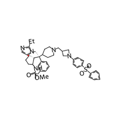 CCc1nccn1C[C@@](c1cccc(F)c1)(C1CCN(CC2CN(c3ccc(S(=O)(=O)c4ccccc4)cc3)C2)CC1)[C@H]1CCC[C@@H]1NC(=O)OC